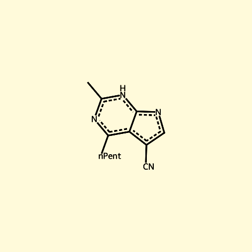 CCCCCc1nc(C)[nH]c2ncc(C#N)c1-2